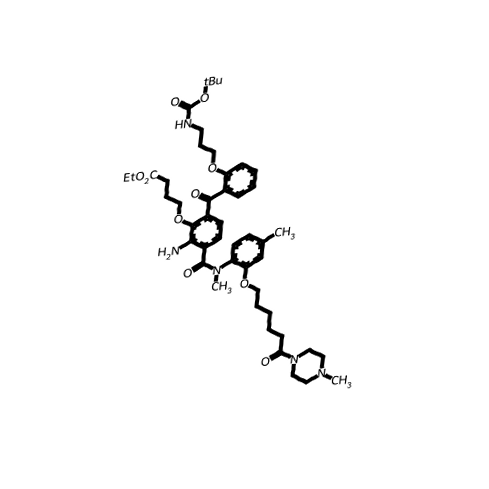 CCOC(=O)CCCOc1c(C(=O)c2ccccc2OCCCNC(=O)OC(C)(C)C)ccc(C(=O)N(C)c2ccc(C)cc2OCCCCCC(=O)N2CCN(C)CC2)c1N